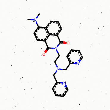 CN(C)c1ccc2c3c(cccc13)C(=O)N(CCN(Cc1ccccn1)Cc1ccccn1)C2=O